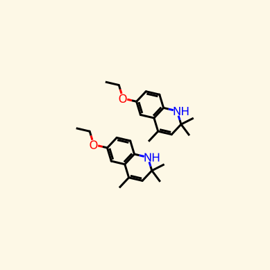 CCOc1ccc2c(c1)C(C)=CC(C)(C)N2.CCOc1ccc2c(c1)C(C)=CC(C)(C)N2